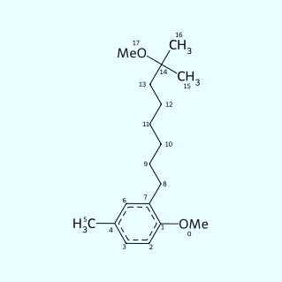 COc1ccc(C)cc1CCCCCCC(C)(C)OC